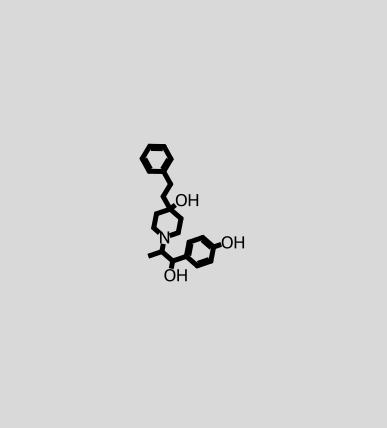 CC(C(O)c1ccc(O)cc1)N1CCC(O)(CCc2ccccc2)CC1